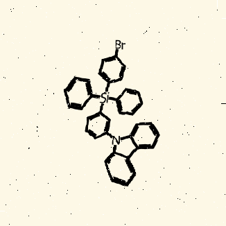 Brc1ccc([Si](c2ccccc2)(c2ccccc2)c2cccc(-n3c4ccccc4c4ccccc43)c2)cc1